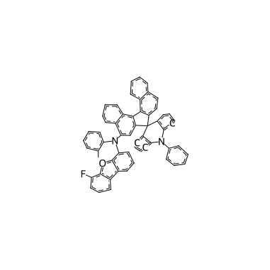 Cc1ccccc1N(c1cc2c(c3ccccc13)-c1c(ccc3ccccc13)C21c2ccccc2N(c2ccccc2)c2ccccc21)c1cccc2c1oc1c(F)cccc12